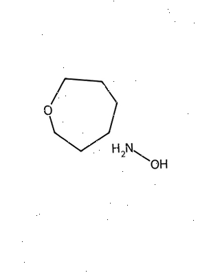 C1CCCOCC1.NO